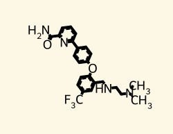 CN(C)CCNCc1cc(C(F)(F)F)ccc1Oc1ccc(-c2cccc(C(N)=O)n2)cc1